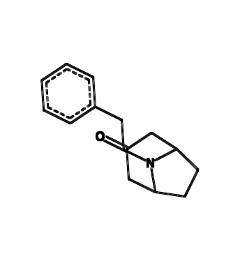 O=C1CC2CCC(C1)N2CCc1ccccc1